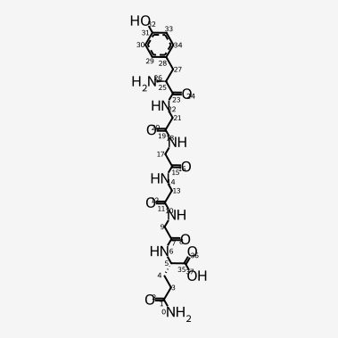 NC(=O)CC[C@H](NC(=O)CNC(=O)CNC(=O)CNC(=O)CNC(=O)[C@@H](N)Cc1ccc(O)cc1)C(=O)O